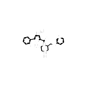 COc1ccccc1-c1ccc(C(=O)N2CCNCC2COc2cccnc2)o1.Cl.Cl